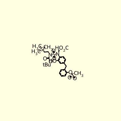 CC(C)(C)OC(=O)N(CC[Si](C)(C)C)S(=O)(=O)N(CC(=O)O)c1ccc(Cc2ccccc2OS(C)(=O)=O)cc1O